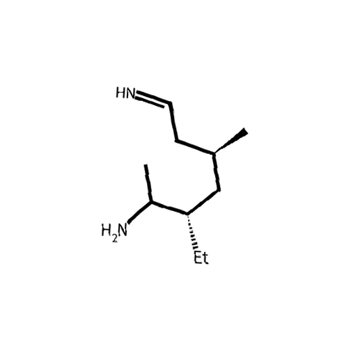 CC[C@@H](C[C@H](C)CC=N)C(C)N